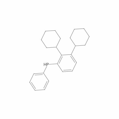 c1ccc(Pc2cccc(C3CCCCC3)c2C2CCCCC2)cc1